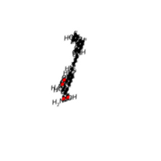 NC(=O)CN(CCN(CC(=O)O)CC(Cc1ccc(NC(=S)NCCCCCC(=O)NC(Cc2cc(I)c(Oc3cc(I)c(O)c(I)c3)c(I)c2)C(=O)O)cc1)N(CC(N)=O)CC(=O)O)CC(=O)O